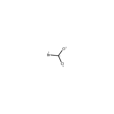 ClC(Cl)Br